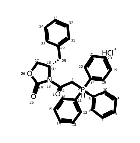 Cl.O=C(C[PH](c1ccccc1)(c1ccccc1)c1ccccc1)N1C(=O)OC[C@@H]1Cc1ccccc1